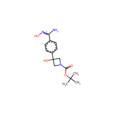 CC(C)(C)OC(=O)N1CC(O)(c2ccc(/C(N)=N\O)cc2)C1